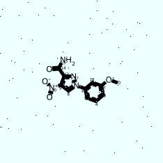 COc1cccc(-n2cc([N+](=O)[O-])c(C(N)=O)n2)c1